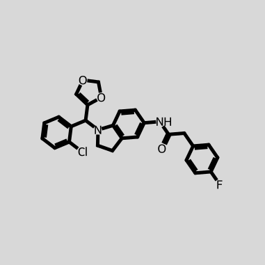 O=C(Cc1ccc(F)cc1)Nc1ccc2c(c1)CCN2C(C1=COCO1)c1ccccc1Cl